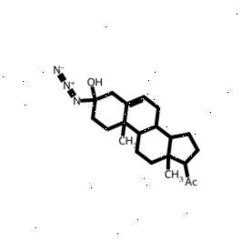 CC(=O)C1CCC2C3CC=C4CC(O)(N=[N+]=[N-])CCC4(C)C3CCC12C